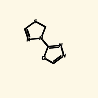 C1=NN(c2nnco2)CS1